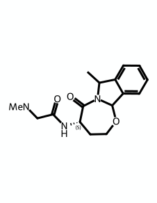 CNCC(=O)N[C@H]1CCOC2c3ccccc3C(C)N2C1=O